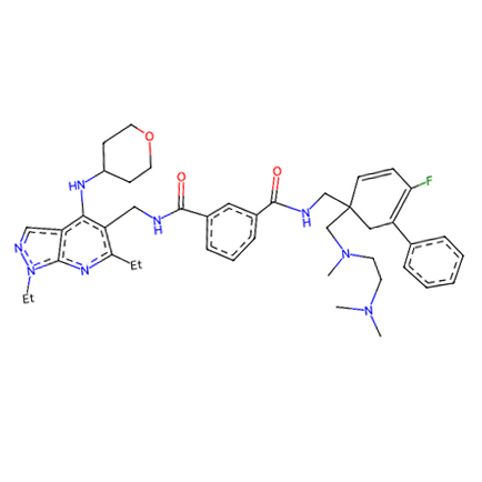 CCc1nc2c(cnn2CC)c(NC2CCOCC2)c1CNC(=O)c1cccc(C(=O)NCC2(CN(C)CCN(C)C)C=CC(F)=C(c3ccccc3)C2)c1